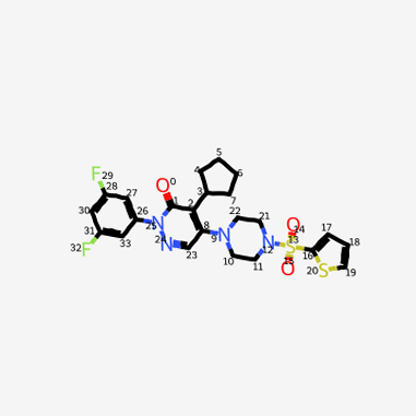 O=c1c(C2CCCC2)c(N2CCN(S(=O)(=O)c3cccs3)CC2)cnn1-c1cc(F)cc(F)c1